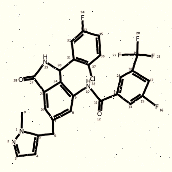 Cn1nccc1Cc1cc(NC(=O)c2cc(F)cc(C(F)(F)F)c2)c2c(c1)C(=O)NC2c1cc(F)ccc1Cl